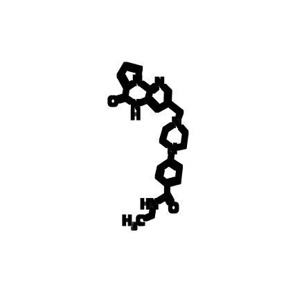 CCNC(=O)c1ccc(N2CCN(Cc3cnc4c(c3)[nH]c(=O)c3cccn34)CC2)cc1